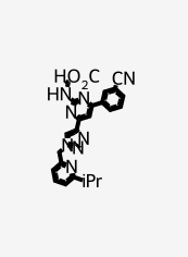 CC(C)c1cccc(Cn2cc(-c3cc(-c4cccc(C#N)c4)nc(NCC(=O)O)n3)nn2)n1